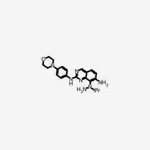 CC(C)N(N)c1c(N)ccc2cnc(Nc3ccc(N4CCOCC4)cc3)nc12